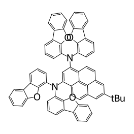 CC(C)(C)c1cc2ccc3c(N(c4cccc5c4oc4ccccc45)c4cccc5c4oc4ccccc45)cc(N(c4cccc5c4oc4ccccc45)c4cccc5c4oc4ccccc45)c4ccc(c1)c2c34